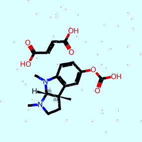 CN1CC[C@@]2(C)c3cc(OC(=O)O)ccc3N(C)[C@@H]12.O=C(O)C=CC(=O)O